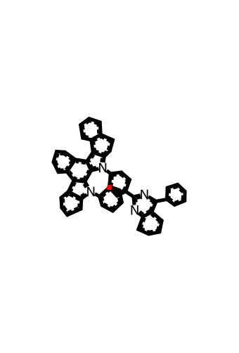 c1ccc(-c2nc(-c3ccc(-n4c5ccc6ccccc6c5c5c6ccccc6c6c7ccccc7n(-c7ccccc7)c6c54)cc3)nc3ccccc23)cc1